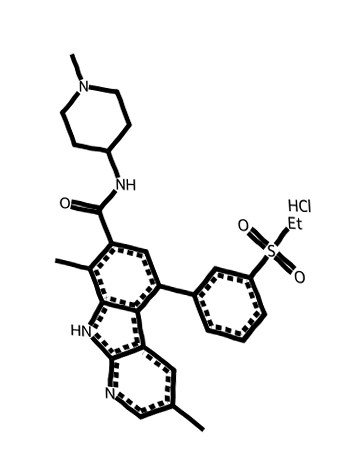 CCS(=O)(=O)c1cccc(-c2cc(C(=O)NC3CCN(C)CC3)c(C)c3[nH]c4ncc(C)cc4c23)c1.Cl